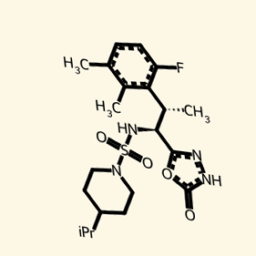 Cc1ccc(F)c([C@H](C)[C@H](NS(=O)(=O)N2CCC(C(C)C)CC2)c2n[nH]c(=O)o2)c1C